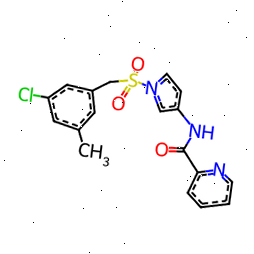 Cc1cc(Cl)cc(CS(=O)(=O)n2ccc(NC(=O)c3ccccn3)c2)c1